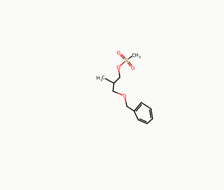 CC(COCc1ccccc1)COS(C)(=O)=O